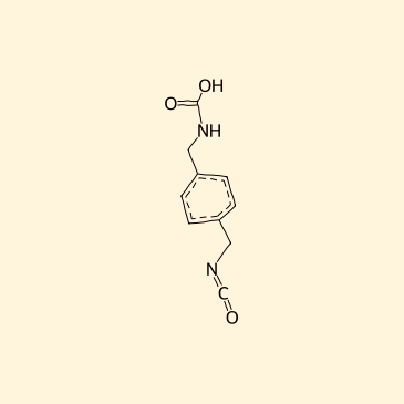 O=C=NCc1ccc(CNC(=O)O)cc1